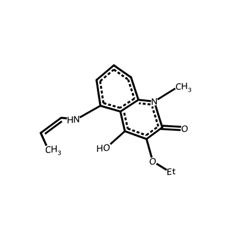 C/C=C\Nc1cccc2c1c(O)c(OCC)c(=O)n2C